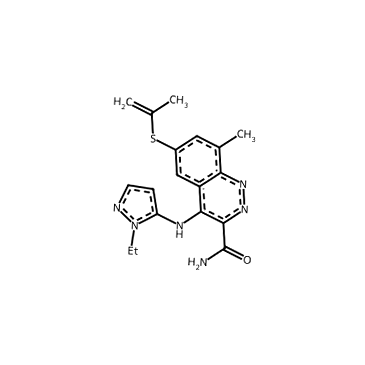 C=C(C)Sc1cc(C)c2nnc(C(N)=O)c(Nc3ccnn3CC)c2c1